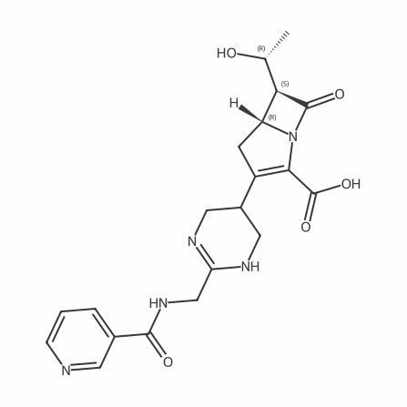 C[C@@H](O)[C@H]1C(=O)N2C(C(=O)O)=C(C3CN=C(CNC(=O)c4cccnc4)NC3)C[C@H]12